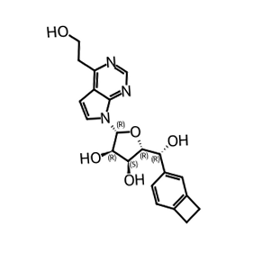 OCCc1ncnc2c1ccn2[C@@H]1O[C@H]([C@H](O)c2ccc3c(c2)CC3)[C@@H](O)[C@H]1O